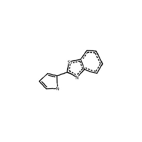 C1=C[N]C(c2nc3ccccc3s2)=C1